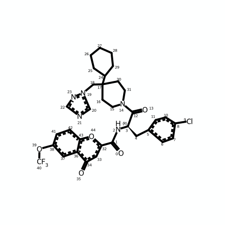 O=C(N[C@H](Cc1ccc(Cl)cc1)C(=O)N1CCC(Cn2cncn2)(C2CCCCC2)CC1)c1cc(=O)c2cc(OC(F)(F)F)ccc2o1